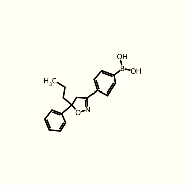 CCCC1(c2ccccc2)CC(c2ccc(B(O)O)cc2)=NO1